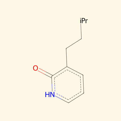 CC(C)CCc1ccc[nH]c1=O